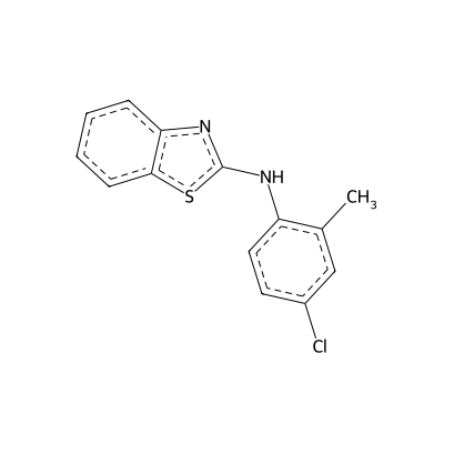 Cc1cc(Cl)ccc1Nc1nc2ccccc2s1